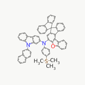 CS(C)(C)c1ccc(N(c2ccc3c4ccccc4n(-c4ccc5ccccc5c4)c3c2)c2cc3c(c4c2oc2ccccc24)-c2ccccc2C32c3ccccc3-c3ccccc32)cc1